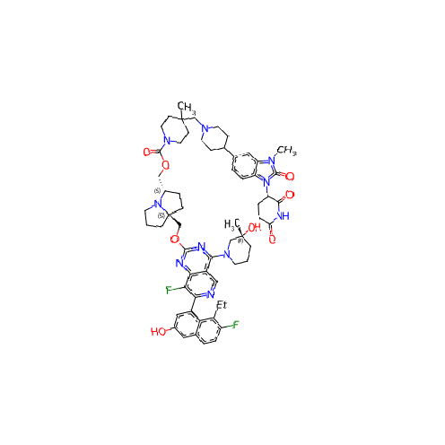 CCc1c(F)ccc2cc(O)cc(-c3ncc4c(N5CCC[C@@](C)(O)C5)nc(OC[C@@]56CCCN5[C@H](COC(=O)N5CCC(C)(CN7CCC(c8ccc9c(c8)n(C)c(=O)n9C8CCC(=O)NC8=O)CC7)CC5)CC6)nc4c3F)c12